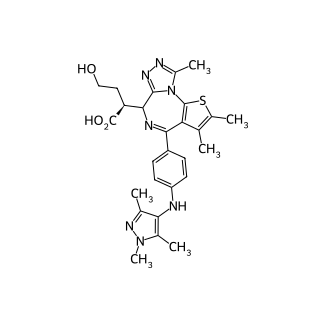 Cc1nn(C)c(C)c1Nc1ccc(C2=NC([C@H](CCO)C(=O)O)c3nnc(C)n3-c3sc(C)c(C)c32)cc1